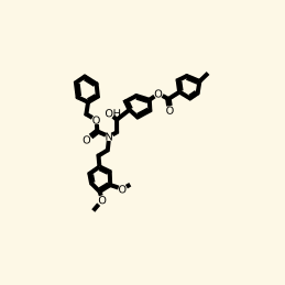 COc1ccc(CCN(CC(O)c2ccc(OC(=O)c3ccc(C)cc3)cc2)C(=O)OCc2ccccc2)cc1OC